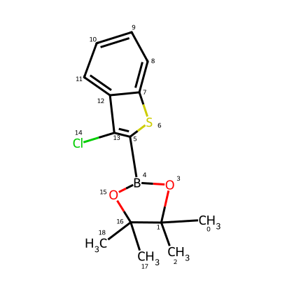 CC1(C)OB(c2sc3ccccc3c2Cl)OC1(C)C